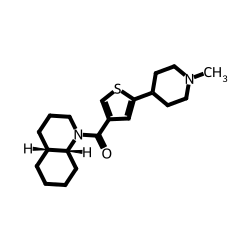 CN1CCC(c2cc(C(=O)N3CCC[C@H]4CCCC[C@H]43)cs2)CC1